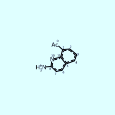 CC(=O)c1cccc2ccc(N)nc12